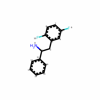 NC(Cc1cc(F)ccc1F)c1ccccc1